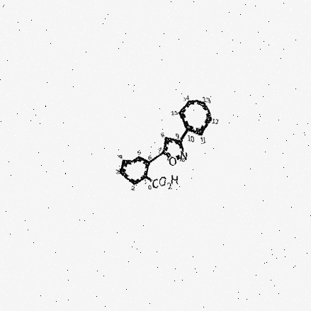 O=C(O)c1ccccc1-c1cc(-c2ccccc2)no1